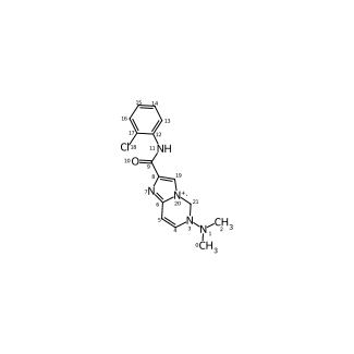 CN(C)N1C=CC2=NC(C(=O)Nc3ccccc3Cl)=C[N+]2C1